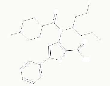 CCCC(CCC)N(C(=O)C1CCC(C)CC1)c1cc(-c2ccccc2)sc1C(=O)O